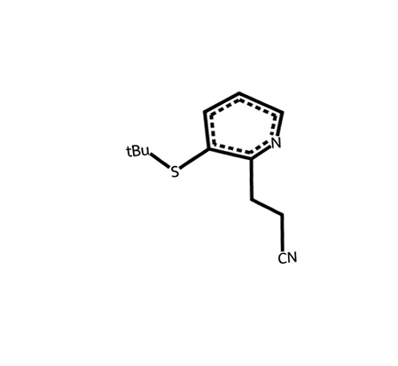 CC(C)(C)Sc1cccnc1CCC#N